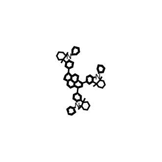 CC12CCCCC1(C)N(c1ccccc1)c1ccc(-c3ccc4ccc5c(-c6ccc7c(c6)C6(C)CCCCC6(C)N7c6ccccc6)cc(-c6ccc7c(c6)C6(C)CCCCC6(C)N7c6ccccc6)c6ccc3c4c56)cc12